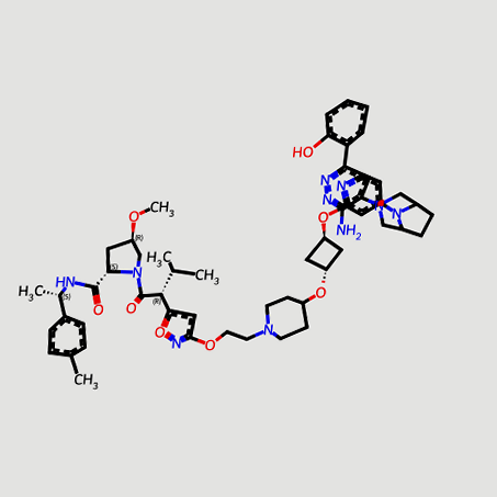 CO[C@@H]1C[C@@H](C(=O)N[C@@H](C)c2ccc(C)cc2)N(C(=O)[C@@H](c2cc(OCCN3CCC(O[C@H]4C[C@H](Oc5cc(N6C7CCC6CN(c6cc(-c8ccccc8O)nnc6N)C7)ccn5)C4)CC3)no2)C(C)C)C1